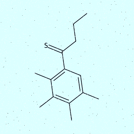 CCCC(=S)c1cc(C)c(C)c(C)c1C